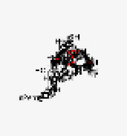 CCCCCOc1ccc(S(=O)(=O)NCCNCc2c(O)cc3c4c2C(O)(O)c2ccc(cc2-4)[C@H]2CC(=O)[C@@H]4NC(=O)[C@H](CC(N)=O)CC(=O)[C@H](NC(=O)[C@H](CC)CC(C)C)[C@H](O)c5ccc(c(Cl)c5)Oc5cc4cc(c5O[C@@H]4O[C@H](CO)[C@@H](O)[C@H](O)[C@H]4O[C@H]4C[C@](C)(N)[C@H](O)[C@H](C)O4)Oc4ccc(cc4Cl)[C@@H](O)[C@H](NC2=O)C(=O)N[C@@H]3C(=O)O)cc1